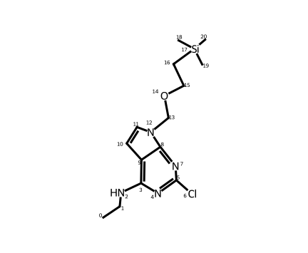 CCNc1nc(Cl)nc2c1ccn2COCC[Si](C)(C)C